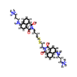 CN(CCC[N+](C)(C)C)c1ccc2c3c(cccc13)C(=O)N(CCCCSSCCN1C(=O)c3cccc4c(N(C)CCC[N+](C)(C)C)ccc(c34)C1=O)C2=O